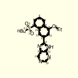 CCCCS(=O)(=O)c1cccc2c(OCC)cc(-c3nc4cncnc4[nH]3)cc12